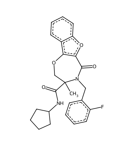 CC1(C(=O)NC2CCCC2)COc2c(oc3ccccc23)C(=O)N1Cc1ccccc1F